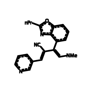 CCCc1nc2c(C(=C\NC)/C(C#N)=C/c3cccnc3)cccc2o1